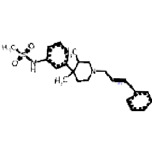 CC1CN(C/C=C/c2ccccc2)CCC1(C)c1cccc(NS(C)(=O)=O)c1